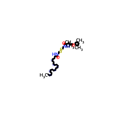 CC/C=C\C/C=C\C/C=C\C/C=C\C/C=C\C/C=C\CCC(=O)NCCSSCCNC(=O)C(C)(C)CCCOc1cc(C)ccc1C